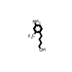 Nc1ccc(CCCCO)c(C(F)(F)F)c1